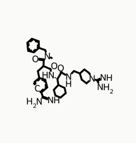 CN(Cc1ccccc1)C(=O)C(Cc1ccc(C(=N)N)cc1)C(=O)N[C@H](C(=O)NCC1CCN(C(=N)N)CC1)C1CCCCC1